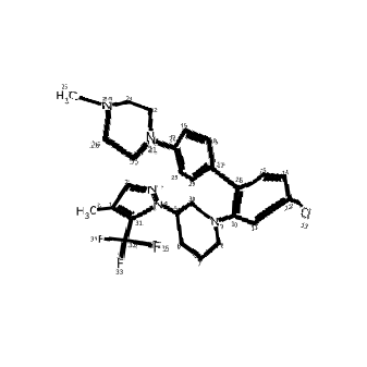 Cc1cnn(C2CCCN(c3cc(Cl)ccc3-c3ccc(N4CCN(C)CC4)cc3)C2)c1C(F)(F)F